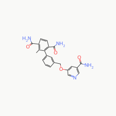 Cc1c(C(N)=O)ccc(C(N)=O)c1-c1cccc(COc2cncc(C(N)=O)c2)c1